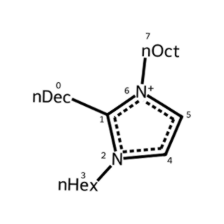 CCCCCCCCCCc1n(CCCCCC)cc[n+]1CCCCCCCC